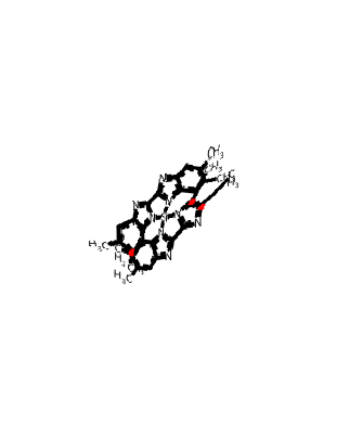 Cc1cc2nc3n(c2cc1C)[Si]1(n2c-3nc3cc(C)c(C)cc32)n2c(nc3cc(C)c(C)cc32)-c2nc3cc(C)c(C)cc3n21